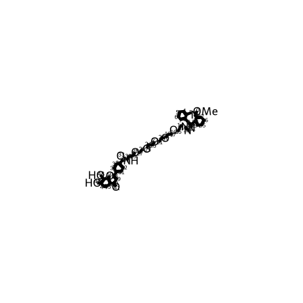 CON1Cc2ccccc2-c2c(nnn2CCOCCOCCOCCOCCOCCNC(=O)c2ccc(-c3cc(=O)c4ccc(O)c(O)c4o3)cc2)-c2ccccc21